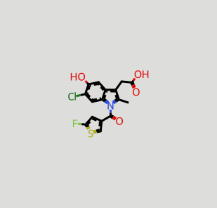 Cc1c(CC(=O)O)c2cc(O)c(Cl)cc2n1C(=O)c1csc(F)c1